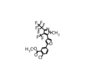 COC(=O)c1cc(-c2cc(-c3c(C(F)(F)F)c(C(F)(F)C(F)(F)F)nn3C)co2)ccc1Cl